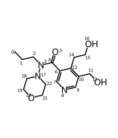 [CH2]CCN(C(=O)c1cncc(CO)c1CCO)N1CCOCC1